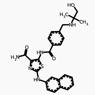 CC(C)(CO)NCc1ccc(C(=O)Nc2sc(Nc3ccc4ccccc4c3)nc2C(N)=O)cc1